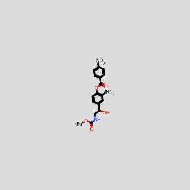 CC(C)(C)OC(=O)NCC(O)c1ccc(OC(=O)c2ccc([N+](=O)[O-])cc2)c([N+](=O)[O-])c1